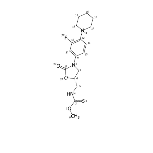 COC(=S)NC[C@H]1CN(c2ccc(N3CCCCC3)c(F)c2)C(=O)O1